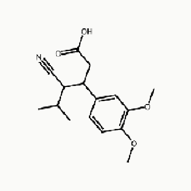 COc1ccc(C(CC(=O)O)C(C#N)C(C)C)cc1OC